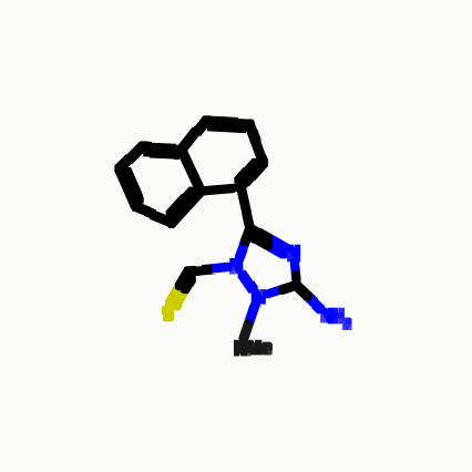 CNN1C(N)N=C(c2cccc3ccccc23)N1C=S